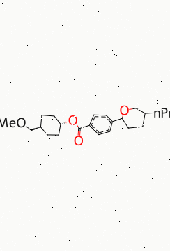 CCCC1CCC(c2ccc(C(=O)O[C@H]3CC[C@H](COC)CC3)cc2)OC1